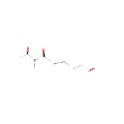 CC(=O)C(Cl)C(=O)CCCCC=O